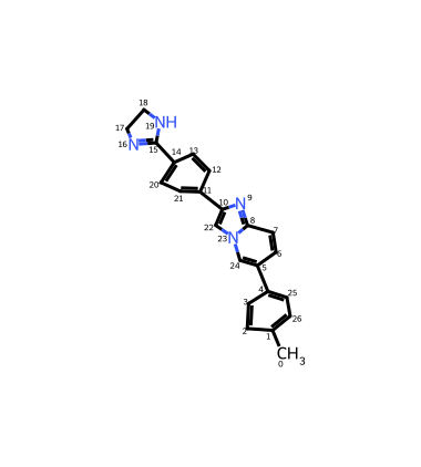 Cc1ccc(-c2ccc3nc(-c4ccc(C5=NCCN5)cc4)cn3c2)cc1